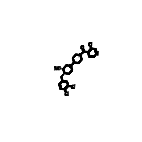 N#C[C@@H]1CN(C2CCN(C(=O)c3ccncc3Cl)CC2)CC[C@@H]1Cc1ccc(Cl)c(Cl)c1